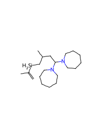 C=C(C)[SiH2]CC(C)CC(N1CCCCCC1)N1CCCCCC1